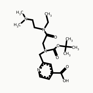 CCN(CCN(C)C)C(=O)CN(Cc1cc(C(=O)O)ccn1)C(=O)OC(C)(C)C